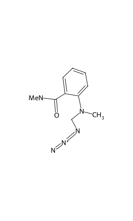 CNC(=O)c1ccccc1N(C)CN=[N+]=[N-]